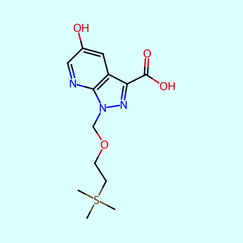 CS(C)(C)CCOCn1nc(C(=O)O)c2cc(O)cnc21